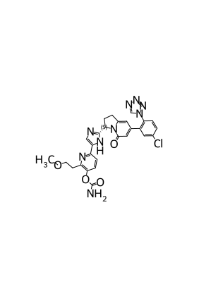 COCCc1nc(-c2cnc([C@@H]3CCc4cc(-c5cc(Cl)ccc5-n5cnnn5)cc(=O)n43)[nH]2)ccc1OC(N)=O